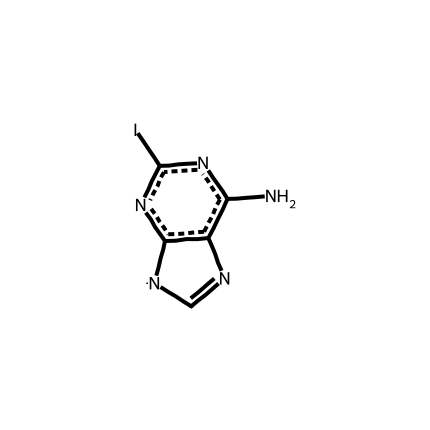 Nc1nc(I)nc2c1N=C[N]2